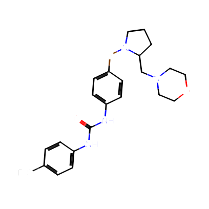 O=C(Nc1ccc(SN2CCCC2CN2CCOCC2)cc1)Nc1ccc(C(F)(F)F)cc1